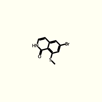 CSc1cc(Br)cc2cc[nH]c(=O)c12